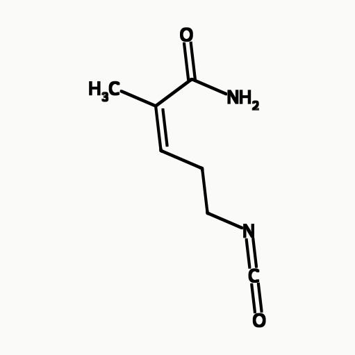 CC(=CCCN=C=O)C(N)=O